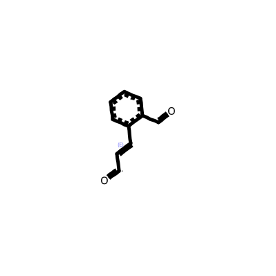 O=[C]/C=C/c1ccccc1C=O